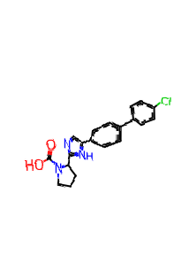 O=C(O)N1CCCC1c1ncc(-c2ccc(-c3ccc(Cl)cc3)cc2)[nH]1